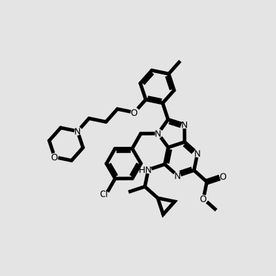 COC(=O)c1nc(NC(C)C2CC2)c2c(n1)nc(-c1cc(C)ccc1OCCCN1CCOCC1)n2Cc1ccc(Cl)cc1